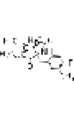 CCOC(=O)C(Cc1ccc(F)c(C)c1)(NC(C)=O)C(=O)OCC